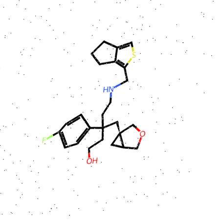 OCCC(CCNCc1scc2c1CCC2)(C[C@@]12COCC1C2)c1ccc(F)cc1